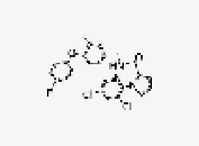 Cc1cc(CNC(=O)c2cccn2-c2ncc(Cl)cc2Cl)ccc1Oc1ccc(F)cc1